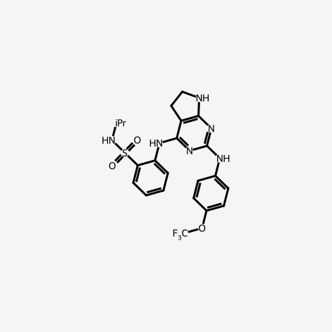 CC(C)NS(=O)(=O)c1ccccc1Nc1nc(Nc2ccc(OC(F)(F)F)cc2)nc2c1CCN2